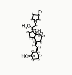 C[C@@H](CN1CCC(F)C1)C1CCC2/C(=C/C=C3/CCCC(O)C3)CCCC21C